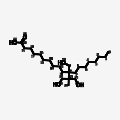 CCCCCCCCC(CO)(CCCCCCCCCC(=O)O)C(C)(CO)CO